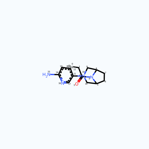 CC(C)(C)CC(=O)N1C2CCC1CN(c1ccc(N)nc1)C2